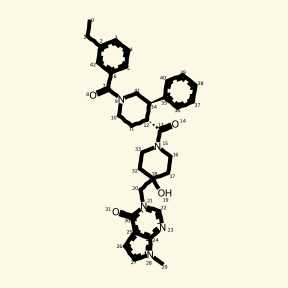 CCc1cccc(C(=O)N2CC[C@@H](C(=O)N3CCC(O)(Cn4cnc5c(ccn5C)c4=O)CC3)[C@H](c3ccccc3)C2)c1